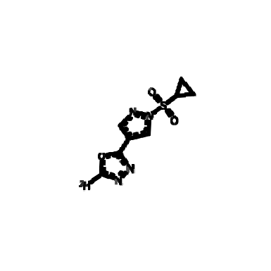 [2H]c1nnc(-c2cnn(S(=O)(=O)C3CC3)c2)o1